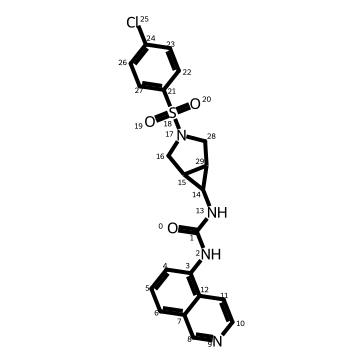 O=C(Nc1cccc2cnccc12)NC1C2CN(S(=O)(=O)c3ccc(Cl)cc3)CC21